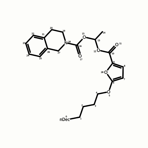 CCCCCCCCCCCCCCOc1ccc(C(=O)OC(C)OC(=O)N2CCc3ccccc3C2)o1